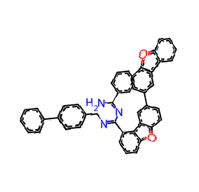 N/C(=N\C(=N/Cc1ccc(-c2ccccc2)cc1)c1cccc2oc3ccc(-c4ccc5oc6ccccc6c5c4)cc3c12)c1ccccc1